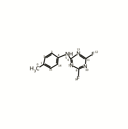 Cc1ccc(Nc2nc(F)nc(F)n2)cc1